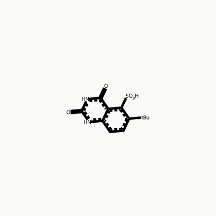 CC(C)(C)c1ccc2[nH]c(=O)[nH]c(=O)c2c1S(=O)(=O)O